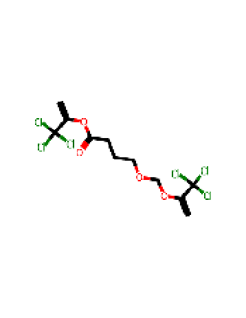 C=C(OCOCCCC(=O)OC(=C)C(Cl)(Cl)Cl)C(Cl)(Cl)Cl